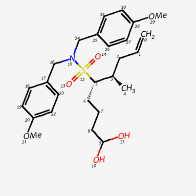 C=CC[C@@H](C)[C@H](CCCC(O)O)S(=O)(=O)N(Cc1ccc(OC)cc1)Cc1ccc(OC)cc1